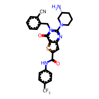 N#Cc1ccccc1Cn1c(N2CCC[C@@H](N)C2)nc2cc(C(=O)Nc3ccc(C(F)(F)F)cc3)sc2c1=O